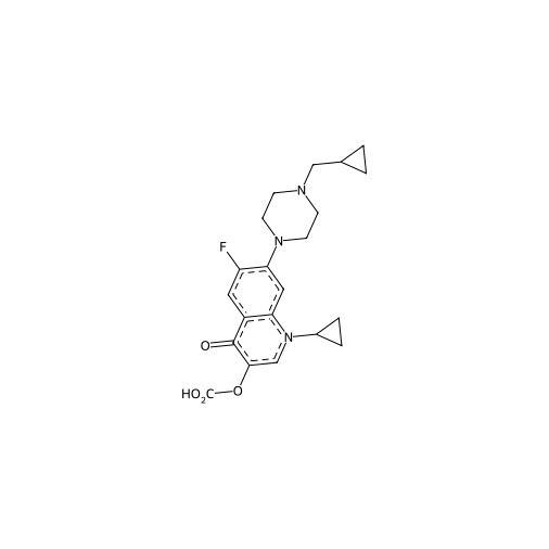 O=C(O)Oc1cn(C2CC2)c2cc(N3CCN(CC4CC4)CC3)c(F)cc2c1=O